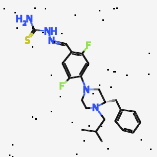 CC(C)CN1CCN(c2cc(F)c(/C=N/NC(N)=S)cc2F)C[C@@H]1Cc1ccccc1